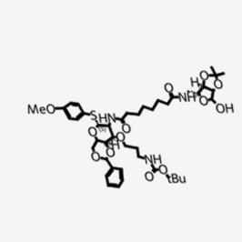 COc1ccc(S[C@@H]2OC3COC(c4ccccc4)O[C@@H]3[C@H](OCCCNC(=O)OC(C)(C)C)C2NC(=O)CCCCCCC(=O)NC[C@H]2OC(O)C3OC(C)(C)O[C@@H]32)cc1